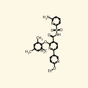 CCOc1ccc(-c2ccc(C(=O)NS(=O)(=O)c3cccc(N)n3)c(Oc3c(C)cc(C)cc3C)n2)cn1